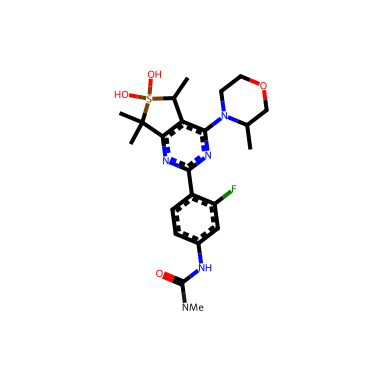 CNC(=O)Nc1ccc(-c2nc(N3CCOCC3C)c3c(n2)C(C)(C)S(O)(O)C3C)c(F)c1